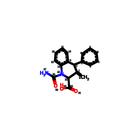 C=C1C(c2ccccc2)c2ccccc2N(C(N)=O)C1C(=O)O